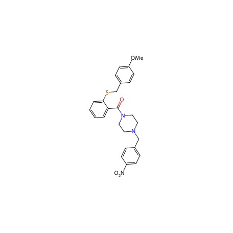 COc1ccc(CSc2ccccc2C(=O)N2CCN(Cc3ccc([N+](=O)[O-])cc3)CC2)cc1